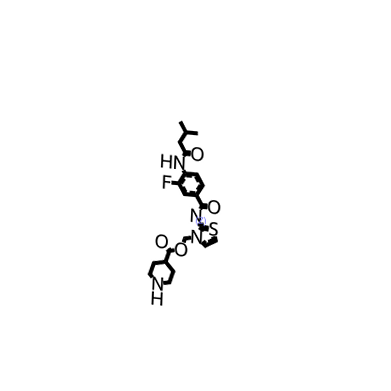 CC(C)CC(=O)Nc1ccc(C(=O)/N=c2\sccn2COC(=O)C2CCNCC2)cc1F